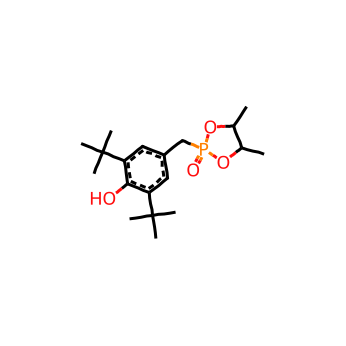 CC1OP(=O)(Cc2cc(C(C)(C)C)c(O)c(C(C)(C)C)c2)OC1C